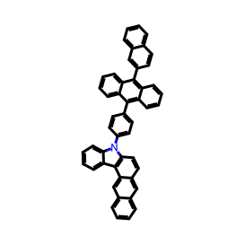 c1ccc2cc(-c3c4ccccc4c(-c4ccc(-n5c6ccccc6c6c7cc8ccccc8cc7ccc65)cc4)c4ccccc34)ccc2c1